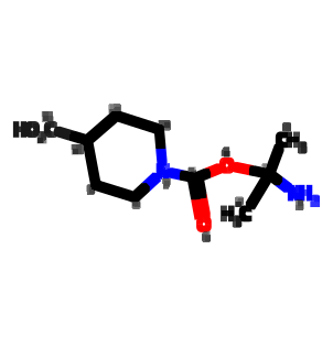 CC(C)(N)OC(=O)N1CCC(C(=O)O)CC1